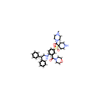 CN1CCN(C(=O)C2(S(=O)(=O)c3ccc(NCC(c4ccccc4)c4ccccc4)c(C(=O)N4CCOCC4)c3)CCNCC2)CC1